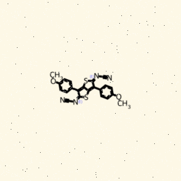 COc1ccc(C2=C3S/C(=N/C#N)C(c4ccc(OC)cc4)=C3S/C2=N/C#N)cc1